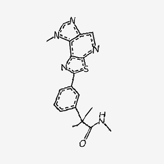 CNC(=O)C(C)(C)c1cccc(-c2nc3c(ncc4ncn(C)c43)s2)c1